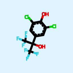 Oc1c(Cl)cc(C(O)(C(F)(F)F)C(F)(F)F)cc1Cl